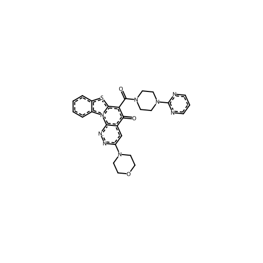 O=C(c1c(=O)c2cc(N3CCOCC3)nnc2n2c1sc1ccccc12)N1CCN(c2ncccn2)CC1